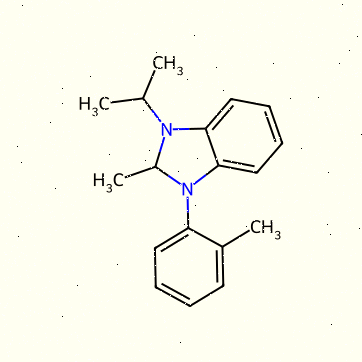 Cc1ccccc1N1c2ccccc2N(C(C)C)C1C